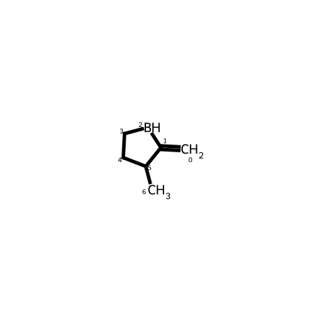 C=C1BCCC1C